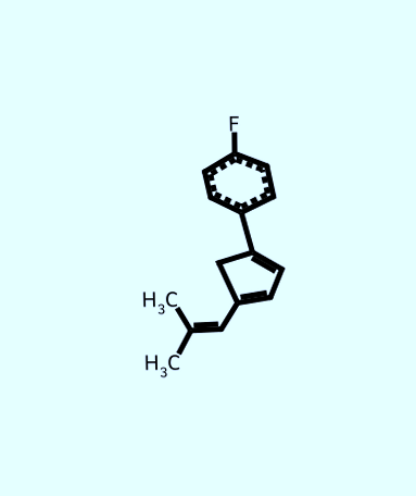 CC(C)=CC1=CC=C(c2ccc(F)cc2)C1